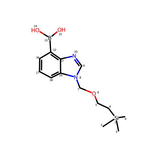 C[Si](C)(C)CCOCn1cnc2c(B(O)O)cccc21